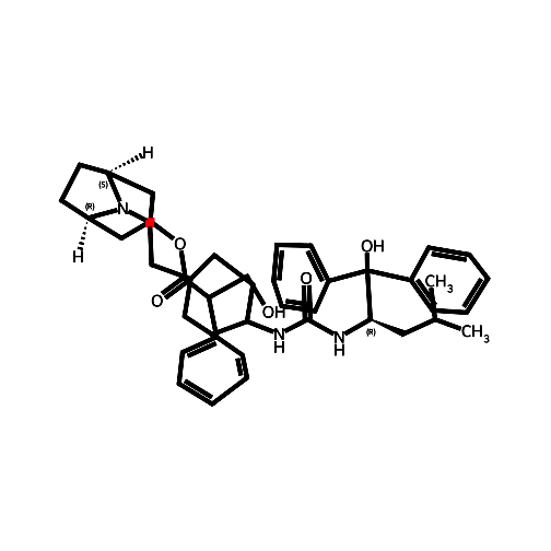 CC(C)C[C@@H](NC(=O)NC1CCC(CCN2[C@@H]3CC[C@H]2CC(OC(=O)C(CO)c2ccccc2)C3)CC1)C(O)(c1ccccc1)c1ccccc1